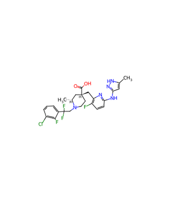 Cc1cc(Nc2ccc(F)c(C[C@@]3(C(=O)O)CCN(CC(F)(F)c4cccc(Cl)c4F)[C@H](C)C3)n2)n[nH]1